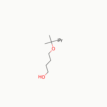 CC(C)C(C)(C)OCCCCO